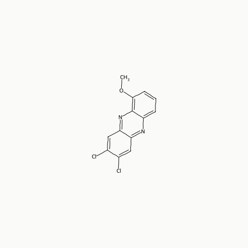 COc1cccc2nc3cc(Cl)c(Cl)cc3nc12